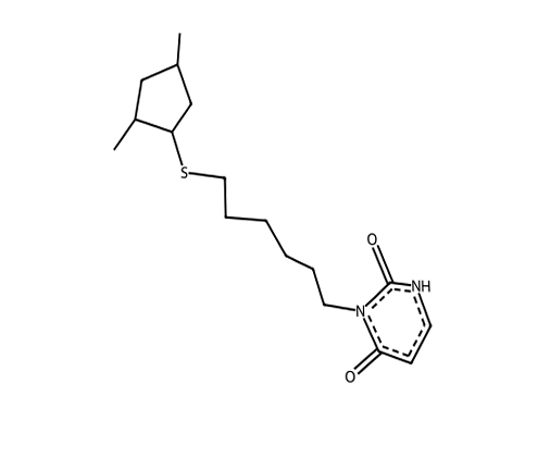 CC1CC(C)C(SCCCCCCn2c(=O)cc[nH]c2=O)C1